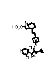 Cn1c(C(=O)O)cc2c(/C=C/C34CCC(OCc5c(-c6c(Cl)cncc6Cl)noc5C5CC5)(CC3)CC4)cccc21